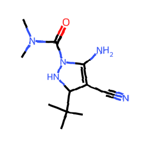 CN(C)C(=O)N1NC(C(C)(C)C)C(C#N)=C1N